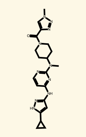 CN(c1nccc(Nc2cc(C3CC3)[nH]n2)n1)C1CCN(C(=O)c2cn(C)nn2)CC1